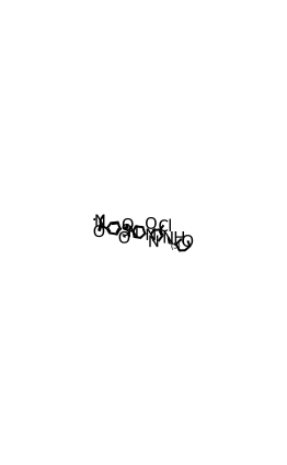 CN(C)C(=O)c1ccc(S(=O)(=O)N2CCC(n3ncc(NC[C@@H]4CCCOC4)c(Cl)c3=O)CC2)cc1